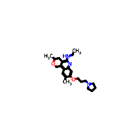 CCNc1nc2cc(OCCCN3CCCC3)c(C)cc2c2c1CC(C)OC2